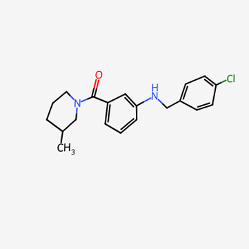 CC1CCCN(C(=O)c2cccc(NCc3ccc(Cl)cc3)c2)C1